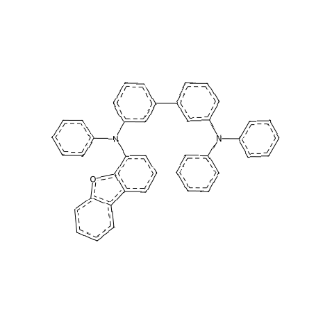 c1ccc(N(c2ccccc2)c2cccc(-c3cccc(N(c4ccccc4)c4cccc5c4oc4ccccc45)c3)c2)cc1